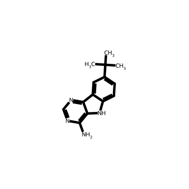 CC(C)(C)c1ccc2[nH]c3c(N)ncnc3c2c1